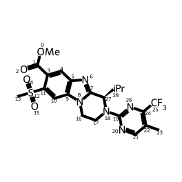 COC(=O)c1cc2nc3n(c2cc1S(C)(=O)=O)CCN(c1ncc(C)c(C(F)(F)F)n1)[C@@H]3C(C)C